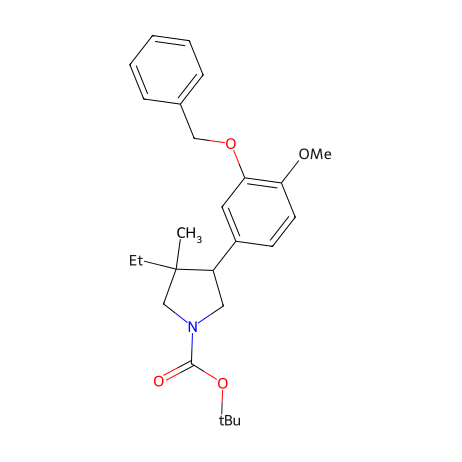 CCC1(C)CN(C(=O)OC(C)(C)C)CC1c1ccc(OC)c(OCc2ccccc2)c1